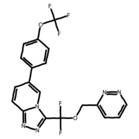 FC(F)(F)Oc1ccc(-c2ccc3nnc(C(F)(F)OCc4cccnn4)n3c2)cc1